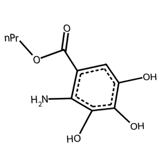 CCCOC(=O)c1cc(O)c(O)c(O)c1N